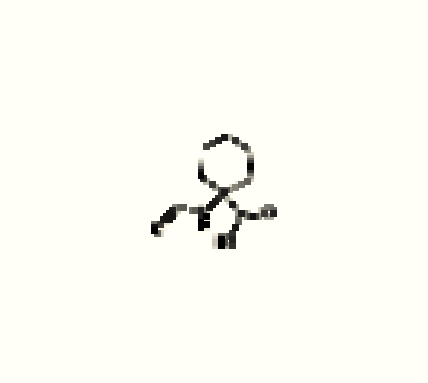 O=[C]NC1(C(=O)O)CCCCC1